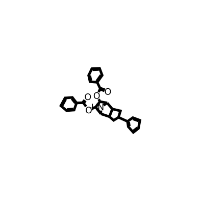 O=C(OC1C2NC(C3CC(c4ccccc4)CC32)C1OC(=O)c1ccccc1)c1ccccc1